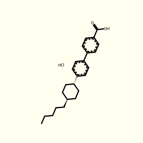 CCCCC[C@H]1CC[C@H](c2ccc(-c3ccc(C(=O)O)cc3)cc2)CC1.Cl